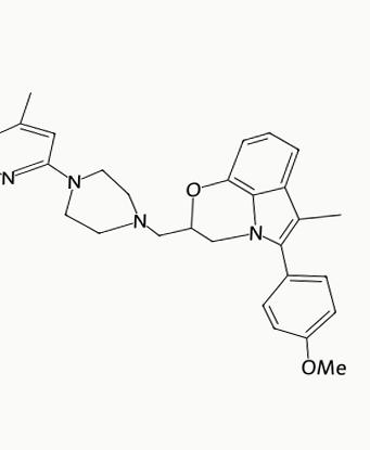 COc1ccc(-c2c(C)c3cccc4c3n2CC(CN2CCN(c3cc(C)ccn3)CC2)O4)cc1